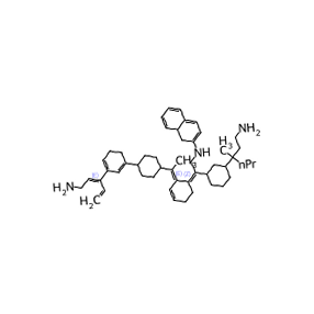 C=C/C(=C\CN)C1=CCCC(C2CCC(/C(C)=C3\C=CCC\C3=C(\CNC3=CC=C4C=CC=CC4C3)C3CCCC(C(C)(CCC)CCN)C3)CC2)=C1